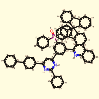 O=P(c1ccccc1)(c1ccccc1)c1cc(-c2cc(-c3ccc(-c4ccccc4)cc3)nc(-c3ccccc3)n2)cc(-c2nc3ccccc3c3ccc4c(c23)-c2ccccc2C42c3ccccc3-c3ccccc32)c1